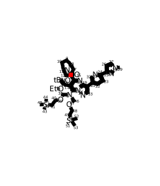 C=C(OCC)c1c(C2CC3CCC(C2)N3C(=O)OC(C)(C)C)nc2c(-c3ccc(-c4ccn(C)n4)nc3)cnn2c1N(COCC[Si](C)(C)C)COCC[Si](C)(C)C